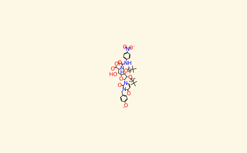 COc1ccc(Cn2c(=O)ccn([C@@H]3OC([C@H](O)[C@H](NC(=O)Nc4ccc([N+](=O)[O-])cc4)C(=O)O)[C@@H](O[Si](C)(C)C(C)(C)C)[C@H]3O[Si](C)(C)C(C)(C)C)c2=O)cc1